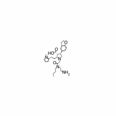 CCCCN(CCN)C(=O)CN1C[C@H](c2ccc3c(c2)CCO3)[C@@H](C(=O)O)[C@@H]1CCc1cccn1C